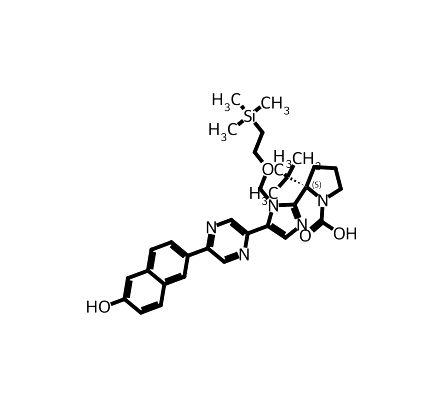 CC(C)(C)[C@]1(c2ncc(-c3cnc(-c4ccc5cc(O)ccc5c4)cn3)n2COCC[Si](C)(C)C)CCCN1C(=O)O